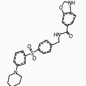 O=C(NCc1ccc(S(=O)(=O)c2cccc(N3CCCCC3)c2)cc1)c1ccc2c(c1)OCN2